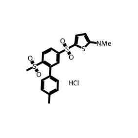 CNc1ccc(S(=O)(=O)c2ccc(S(C)(=O)=O)c(-c3ccc(C)cc3)c2)s1.Cl